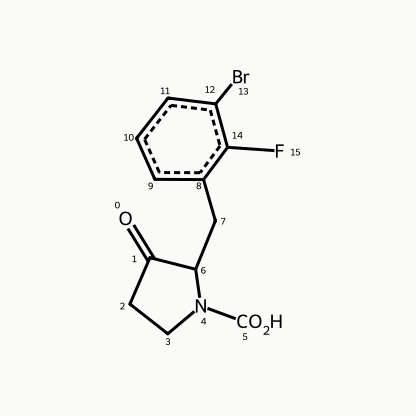 O=C1CCN(C(=O)O)C1Cc1cccc(Br)c1F